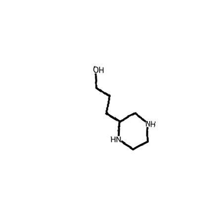 OCCCC1CNCCN1